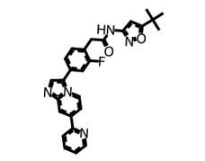 CC(C)(C)c1cc(NC(=O)Cc2ccc(-c3cnc4cc(-c5ccccn5)ccn34)cc2F)no1